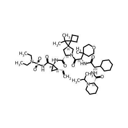 C=C[C@@H]1C[C@]1(NC(=O)[C@@H]1C[C@@]2(CN1C(=O)[C@@H](NC(=O)[C@@H](NC(=O)[C@@H]1CCCCN1C(C)C)C1CCCCC1)C1(C)CCOCC1)C(C)(C)C21CCC1)C(=O)NS(=O)(=O)N(CC)CC